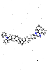 C1=CCCC(n2c3ccccc3c3cc(C4=CC=CC(c5cccc(-c6ccc(-c7ccc(-c8cnc9c%10ccccc%10c%10ccccc%10c9n8)cc7)cc6)c5)C=C4)ccc32)=C1